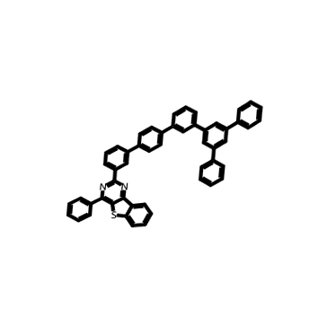 c1ccc(-c2cc(-c3ccccc3)cc(-c3cccc(-c4ccc(-c5cccc(-c6nc(-c7ccccc7)c7sc8ccccc8c7n6)c5)cc4)c3)c2)cc1